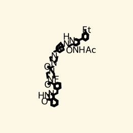 CCc1cccc(-c2cnc(C(=O)NC34CCC(CN5CCN(CC(=O)N6CCN(C(=O)c7cc(Cc8n[nH]c(=O)c9ccccc89)ccc7F)CC6)CC5)(CC3)OC4)c(NC(C)=O)c2)c1